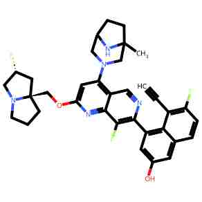 C#Cc1c(F)ccc2cc(O)cc(-c3ncc4c(N5CC6CCC(C)(C5)N6)cc(OC[C@@]56CCCN5C[C@H](F)C6)nc4c3F)c12